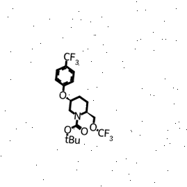 CC(C)(C)OC(=O)N1C[C@@H](Oc2ccc(C(F)(F)F)cc2)CC[C@H]1COC(F)(F)F